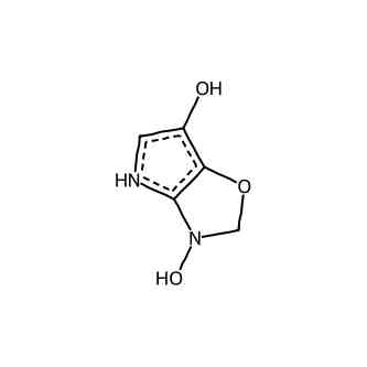 Oc1c[nH]c2c1OCN2O